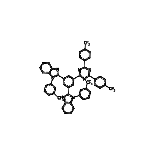 FC(F)(F)c1ccc(-c2nc(-c3ccc(C(F)(F)F)cc3)nc(-c3cc(-c4nc5ccccc5n4-c4cccc(C(F)(F)F)c4)cc(-c4nc5ccccc5n4-c4cccc(C(F)(F)F)c4)c3)n2)cc1